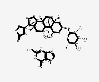 C[C@@H]1O[C@@H](O[C@H]2C[C@@H](O)[C@]3(CO)[C@H]4[C@H](O)C[C@]5(C)[C@@H](C6=CC(=O)OC6)CC[C@]5(O)[C@@H]4CC[C@]3(O)C2)[C@H](O)[C@H](O)[C@H]1O.Nc1nc2nc[nH]c2c(=S)[nH]1